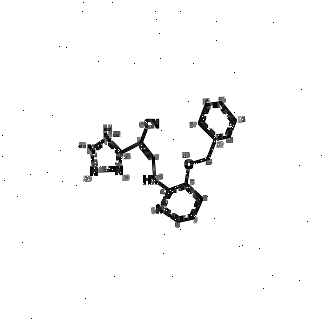 N#CC(=CNc1ncccc1OCc1ccccc1)c1nnn[nH]1